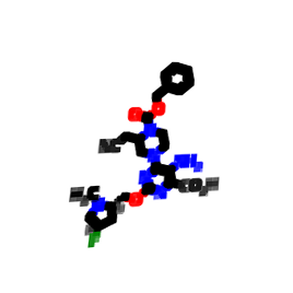 CN1C[C@H](F)C[C@H]1COc1nc(C(=O)O)c(N)c(N2CCN(C(=O)OCc3ccccc3)C(CC#N)C2)n1